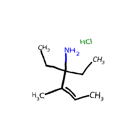 CC=C(C)C(N)(CC)CC.Cl